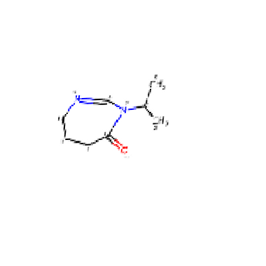 CC(C)N1C=NCCCC1=O